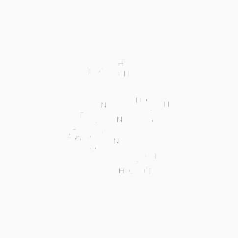 CC(C)(C)c1ccnc(-c2cc(C(C)(C)C)cc(-c3cc(C(C)(C)C)ccn3)n2)c1.O=S(=O)([O-])C(F)(F)F.[Au+]